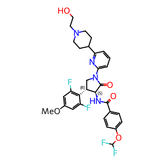 COc1cc(F)c([C@@H]2CN(c3cccc(C4CCN(CCO)CC4)n3)C(=O)[C@H]2NC(=O)c2ccc(OC(F)F)cc2)c(F)c1